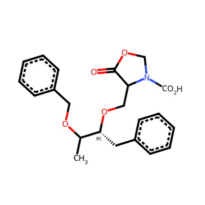 CC(OCc1ccccc1)[C@@H](Cc1ccccc1)OCC1C(=O)OCN1C(=O)O